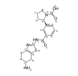 NC1CCc2nc(NC(=O)c3cccc([C@H]4CCCN4C(=O)O)c3)sc2C1